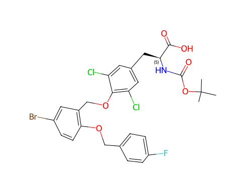 CC(C)(C)OC(=O)N[C@@H](Cc1cc(Cl)c(OCc2cc(Br)ccc2OCc2ccc(F)cc2)c(Cl)c1)C(=O)O